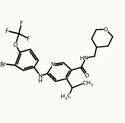 CC(C)c1cc(Nc2ccc(OC(F)(F)F)c(Br)c2)ncc1C(=O)NCC1CCOCC1